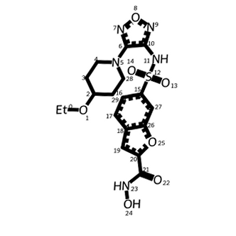 CCOC1CCN(c2nonc2NS(=O)(=O)c2ccc3cc(C(=O)NO)oc3c2)CC1